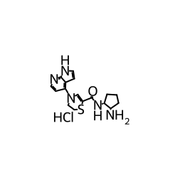 Cl.N[C@H]1CCC[C@@H]1NC(=O)C1=CN(c2ccnc3[nH]ccc23)CCS1